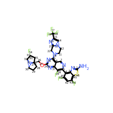 Nc1nc2c(-c3ncc4c(N5CCn6cc(C(F)(F)F)nc6C5)nc(OC[C@@]56CCCN5C[C@H](F)C6)nc4c3F)c(F)cc(F)c2s1